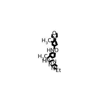 CCn1cc2ncc(N[C@@H](C)c3cccc(NC(=O)c4ccc(N5CCOCC5)c(C)c4)c3)nc2n1